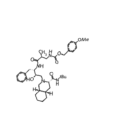 COc1ccc(COC(=O)NC[C@H](C)C(=O)N[C@@H](Cc2ccccc2)[C@H](O)CN2C[C@H]3CCCC[C@H]3C[C@H]2C(=O)NC(C)(C)C)cc1